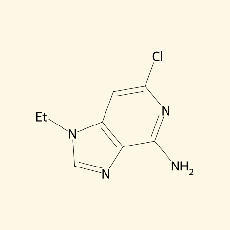 CCn1cnc2c(N)nc(Cl)cc21